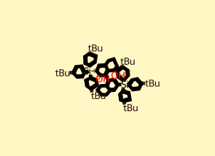 CC(C)(C)c1ccc([Si](c2ccc(C(C)(C)C)cc2)(c2ccc(C(C)(C)C)cc2)c2cc3c(c(C4=C5CCCCC5=C[C@@H]([Si](c5ccc(C(C)(C)C)cc5)(c5ccc(C(C)(C)C)cc5)c5ccc(C(C)(C)C)cc5)[C@H]4O)c2O)CCCC3)cc1